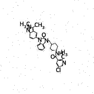 Cc1ncc(Cl)cc1C(=O)NC1CCC(Cn2c(=O)n(-c3ccc4nn(C)c(C)c4c3)c3ccccc32)CC1